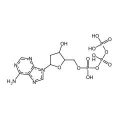 Nc1ncnc2c1ncn2C1CC(O)C(COP(=O)(O)OP(=O)(O)OP(=O)(O)O)O1